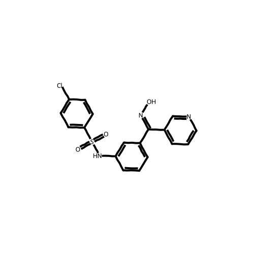 O=S(=O)(Nc1cccc(C(=NO)c2cccnc2)c1)c1ccc(Cl)cc1